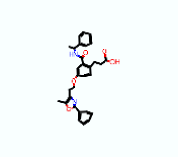 Cc1oc(-c2ccccc2)nc1CCOc1ccc(CCC(=O)O)c(C(=O)NC(C)c2ccccc2)c1